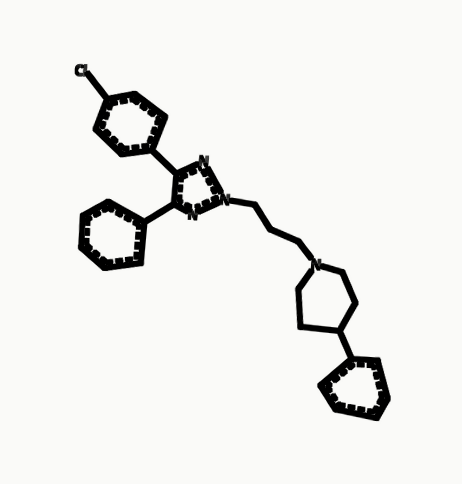 Clc1ccc(-c2nn(CCCN3CCC(c4ccccc4)CC3)nc2-c2ccccc2)cc1